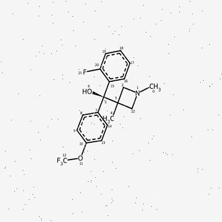 CN1CC(C)([C@](O)(c2ccc(OC(F)(F)F)cc2)c2ccccc2F)C1